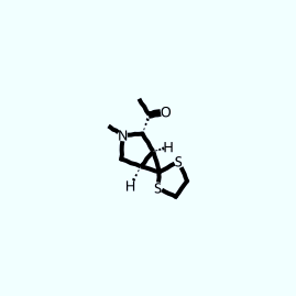 CC(=O)[C@@H]1[C@@H]2[C@H](CN1C)C21SCCS1